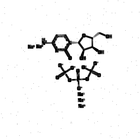 Nc1ccn([C@@H]2O[C@H](CO)[C@@H](O)[C@H]2O)c(=O)n1.O=P([O-])([O-])OP(=O)([O-])OP(=O)([O-])[O-].[Na+].[Na+].[Na+].[Na+].[Na+]